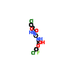 O=C(NN1CCC(NC[C@H](O)COc2ccc(Cl)c(F)c2)CC1)c1cc2cc(Cl)ccc2o1